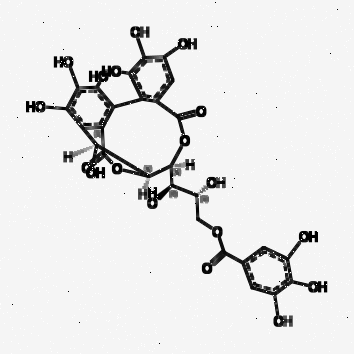 O=C(OC[C@@H](O)[C@@H](O)[C@@H]1OC(=O)c2cc(O)c(O)c(O)c2-c2c(O)c(O)c(O)c3c2C(=O)O[C@H]1[C@H]3O)c1cc(O)c(O)c(O)c1